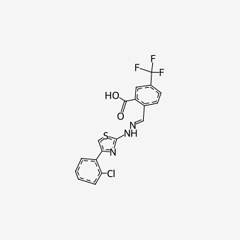 O=C(O)c1cc(C(F)(F)F)ccc1/C=N/Nc1nc(-c2ccccc2Cl)cs1